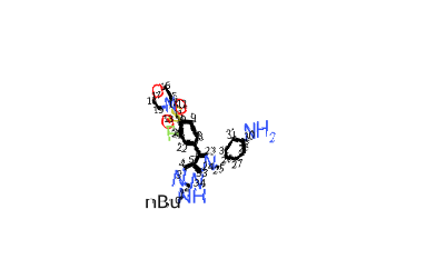 CCCCNc1ncc2c(-c3ccc(S(=O)(=O)N4CCOCC4)c(F)c3)cn(C[C@H]3CC[C@H](N)CC3)c2n1